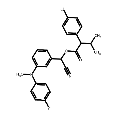 CC(C)C(C(=O)OC(C#N)c1cccc(N(C)c2ccc(Cl)cc2)c1)c1ccc(Cl)cc1